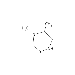 CC1CN[CH]CN1C